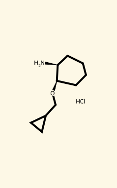 Cl.N[C@H]1CCCC[C@H]1OCC1CC1